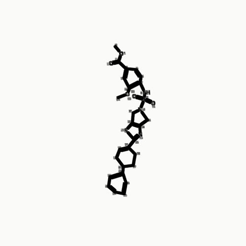 COC(=O)c1ccc(NS(=O)(=O)N2Cc3nc(C4=CCC(c5ccccc5)CC4)sc3C2)c(OC)c1